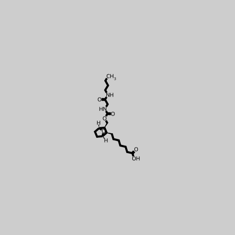 CCCCNC(=O)CNC(=O)OC[C@H]1[C@@H](CCCCCCC(=O)O)[C@H]2CC[C@@H]1O2